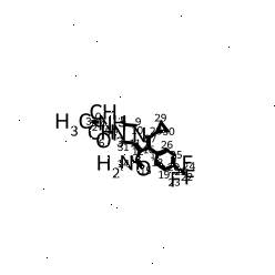 CC(C)(C)NC(=O)N1CCn2c(c(C(N)=O)c(-c3ccc(C(F)(F)F)cc3)c2C2CC2)C1